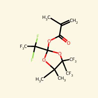 C=C(C)C(=O)OC1(C(F)(F)C(F)(F)F)OC(C)(C)C(C(F)(F)F)(C(F)(F)F)O1